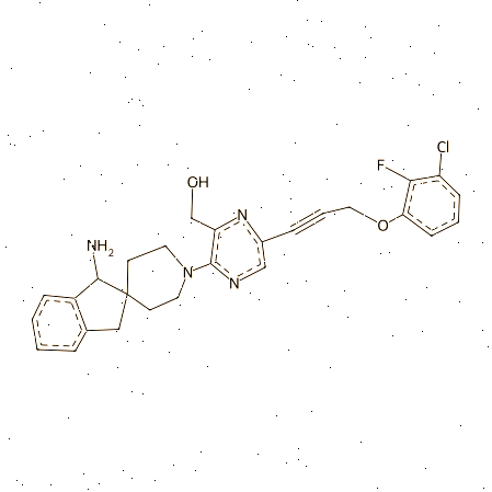 NC1c2ccccc2CC12CCN(c1ncc(C#CCOc3cccc(Cl)c3F)nc1CO)CC2